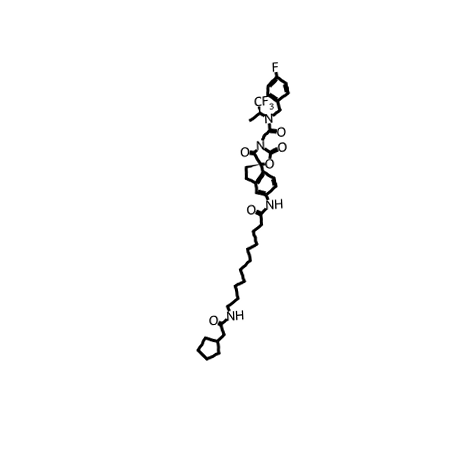 C[C@H](N(Cc1ccc(F)cc1)C(=O)CN1C(=O)O[C@@]2(CCc3cc(NC(=O)CCCCCCCCCCNC(=O)CC4CCCC4)ccc32)C1=O)C(F)(F)F